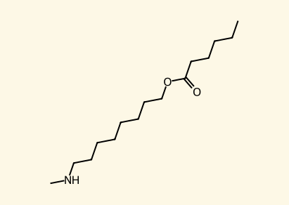 CCCCCC(=O)OCCCCCCCCNC